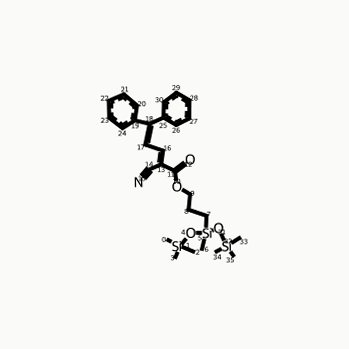 C[Si](C)(C)O[Si](C)(CCCOC(=O)/C(C#N)=C/C=C(c1ccccc1)c1ccccc1)O[Si](C)(C)C